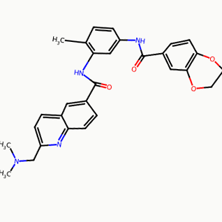 Cc1ccc(NC(=O)c2ccc3c(c2)OCCO3)cc1NC(=O)c1ccc2nc(CN(C)C)ccc2c1